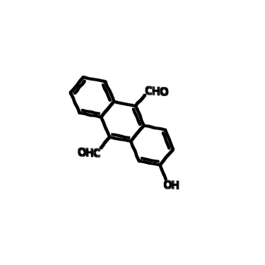 O=Cc1c2ccccc2c(C=O)c2cc(O)ccc12